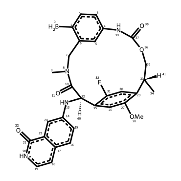 Bc1ccc2cc1CN(C)C(=O)[C@H](Nc1ccc3cc[nH]c(=O)c3c1)c1cc(OC)c(cc1F)[C@@H](C)COC(=O)N2